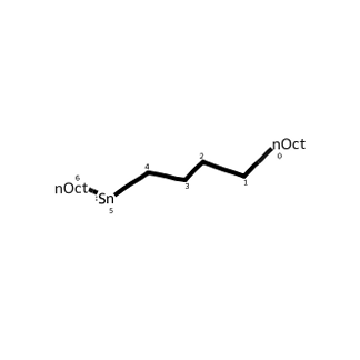 CCCCCCCCCCC[CH2][Sn][CH2]CCCCCCC